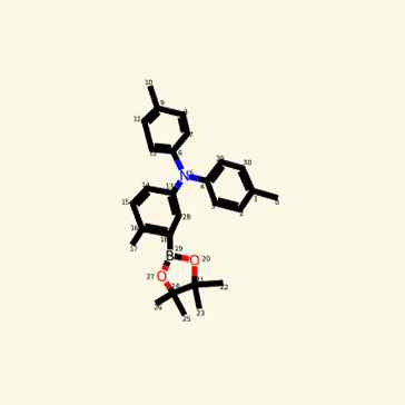 Cc1ccc(N(c2ccc(C)cc2)c2ccc(C)c(B3OC(C)(C)C(C)(C)O3)c2)cc1